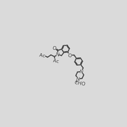 CC(=O)CCC(C(C)=O)N1Cc2c(OCc3ccc(CN4CCN(C=O)CC4)cc3)cccc2C1=O